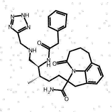 C[C@@H](CCC1(C(N)=O)Cc2cccc3c2N1C(=O)CCC3)[C@@H](CNCc1nn[nH]n1)NC(=O)Cc1ccccc1